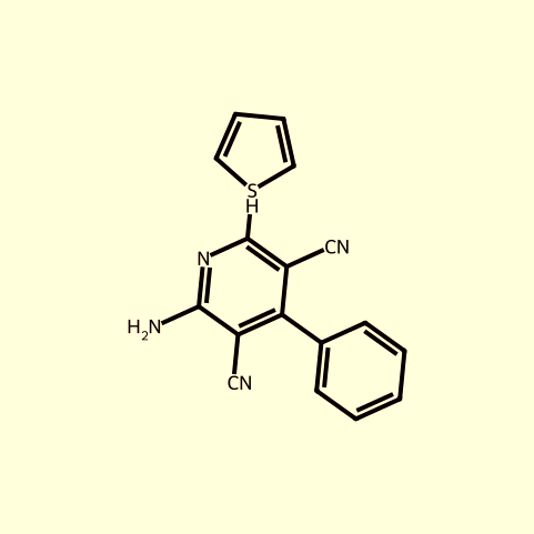 N#Cc1c(N)nc([SH]2C=CC=C2)c(C#N)c1-c1ccccc1